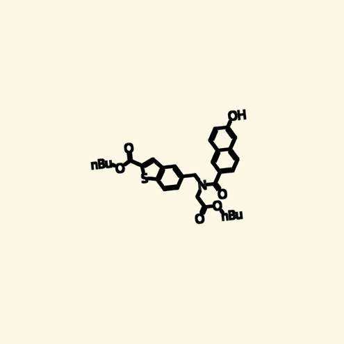 CCCCOC(=O)CN(Cc1ccc2sc(C(=O)OCCCC)cc2c1)C(=O)c1ccc2cc(O)ccc2c1